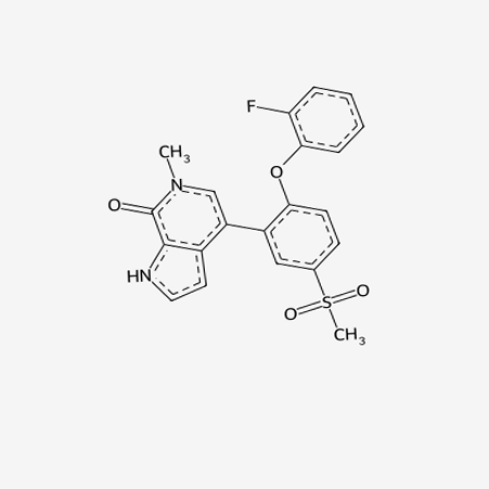 Cn1cc(-c2cc(S(C)(=O)=O)ccc2Oc2ccccc2F)c2cc[nH]c2c1=O